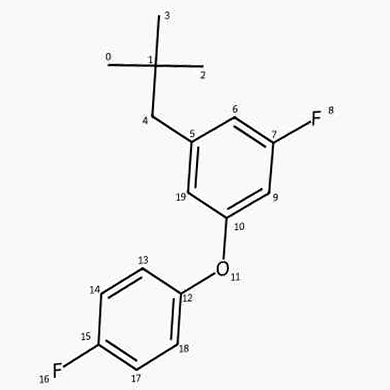 CC(C)(C)Cc1cc(F)cc(Oc2ccc(F)cc2)c1